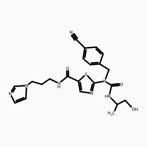 CC(CO)NC(=O)N(Cc1ccc(C#N)cc1)c1ncc(C(=O)NCCCn2ccnc2)s1